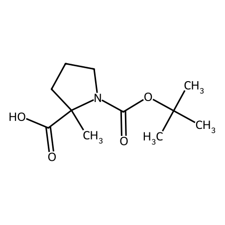 CC(C)(C)OC(=O)N1CCCC1(C)C(=O)O